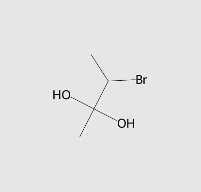 CC(Br)C(C)(O)O